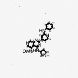 COc1cncc2nc(-c3ccnc(Nc4ccccc4)c3)nc(N[C@@H]3CCNC3)c12